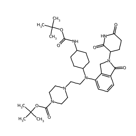 CC(C)(C)OC(=O)NC1CCC(N(CCN2CCN(C(=O)OC(C)(C)C)CC2)c2cccc3c2CN(C2CCC(=O)NC2=O)C3=O)CC1